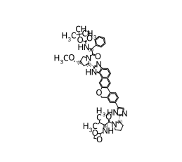 COC[C@H]1C[C@@H](c2nc3ccc4cc5c(cc4c3[nH]2)OCc2cc(-c3cnc([C@@H]4CCCN4C(=O)[C@@H](NC4OCO4)C(C)C)[nH]3)ccc2-5)N(C(=O)[C@H](NC(=O)OC(C)(C)C)c2ccccc2)C1